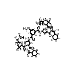 CN[C@@H](C)C(=O)N[C@H](C(=O)N1C[C@@H](NC(=O)c2cc(N)cc(C(=O)N[C@H]3C[C@@H](C(=O)N[C@H](C)C4CCCCC4)N(C(=O)[C@@H](NC(=O)[C@H](C)NC)C(C)(C)C)C3)c2)C[C@H]1C(=O)N[C@H](C)C1CCCCC1)C(C)(C)C